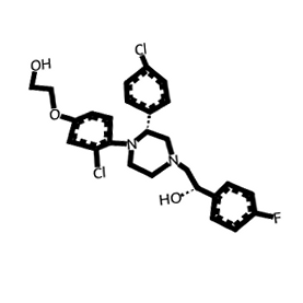 OCCOc1ccc(N2CCN(C[C@@H](O)c3ccc(F)cc3)C[C@H]2c2ccc(Cl)cc2)c(Cl)c1